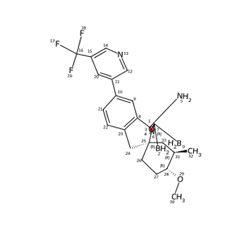 BC1(B)OC(N)=N[C@]12c1cc(-c3cncc(C(F)(F)F)c3)ccc1C[C@]21CC[C@@H](OC)[C@H](C)C1